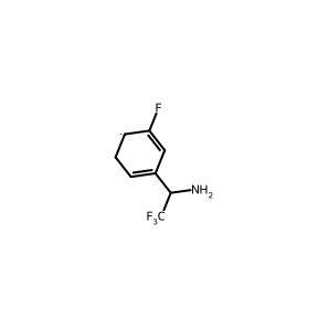 NC(C1=CC[CH]C(F)=C1)C(F)(F)F